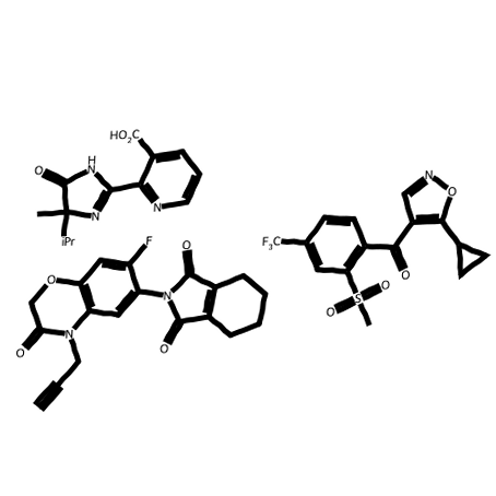 C#CCN1C(=O)COc2cc(F)c(N3C(=O)C4=C(CCCC4)C3=O)cc21.CC(C)C1(C)N=C(c2ncccc2C(=O)O)NC1=O.CS(=O)(=O)c1cc(C(F)(F)F)ccc1C(=O)c1cnoc1C1CC1